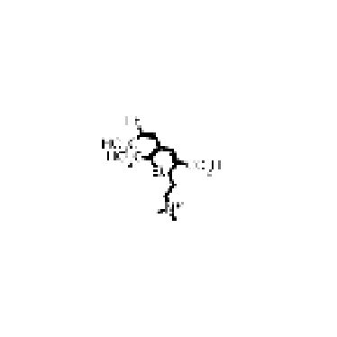 CCC(=CC(C=C(CCC[N+](C)(C)C)C(=O)O)=C(CC)C(=O)O)C(=O)O